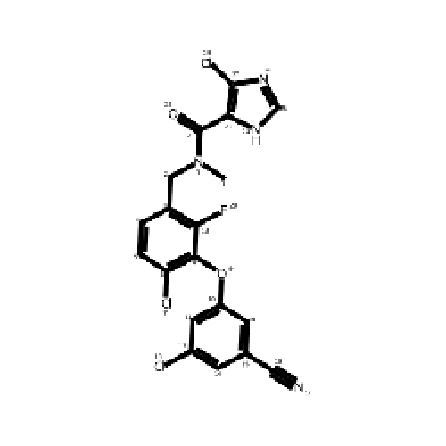 CN(Cc1ccc(Cl)c(Oc2cc(Cl)cc(C#N)c2)c1F)C(=O)c1[nH]cnc1Cl